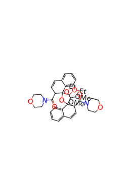 CCOC(OC)C1(OC2(C(OC)OCC)c3ccccc3C=CC2C(=O)N2CCOCC2)c2ccccc2C=CC1C(=O)N1CCOCC1